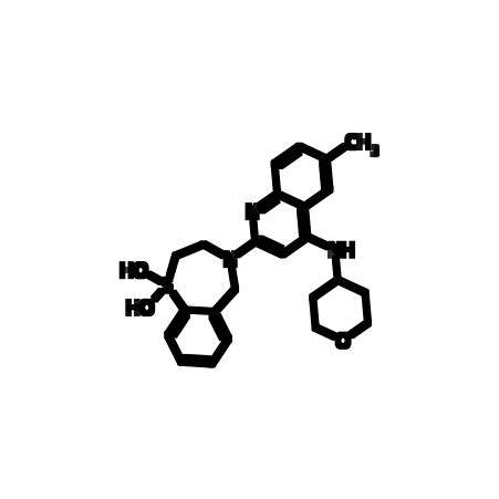 Cc1ccc2nc(N3CCS(O)(O)c4ccccc4C3)cc(NC3CCOCC3)c2c1